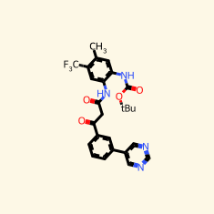 Cc1cc(NC(=O)OC(C)(C)C)c(NC(=O)CC(=O)c2cccc(-c3cncnc3)c2)cc1C(F)(F)F